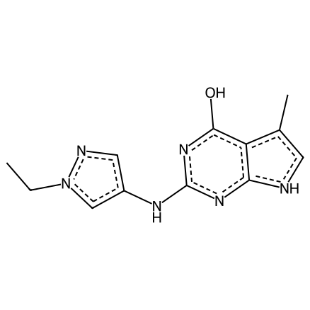 CCn1cc(Nc2nc(O)c3c(C)c[nH]c3n2)cn1